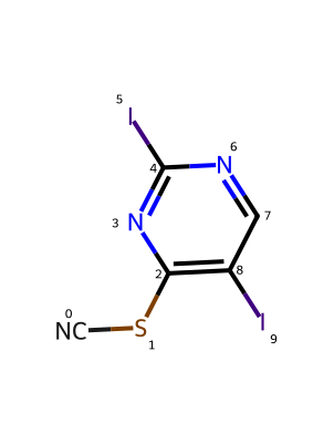 N#CSc1nc(I)ncc1I